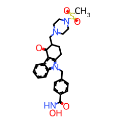 CS(=O)(=O)N1CCN(CC2CCc3c(c4ccccc4n3Cc3ccc(C(=O)NO)cc3)C2=O)CC1